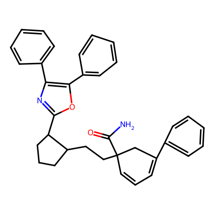 NC(=O)C1(CCC2CCCC2c2nc(-c3ccccc3)c(-c3ccccc3)o2)C=CC=C(c2ccccc2)C1